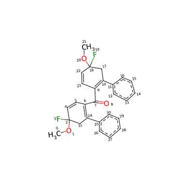 COC1(F)C=CC(C(=O)C2=C(c3ccccc3)CC(F)(OC)C=C2)=C(c2ccccc2)C1